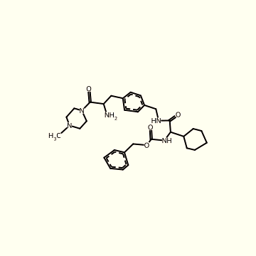 CN1CCN(C(=O)C(N)Cc2ccc(CNC(=O)C(NC(=O)OCc3ccccc3)C3CCCCC3)cc2)CC1